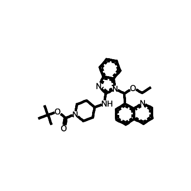 CCOC(c1cccc2cccnc12)n1c(NC2CCN(C(=O)OC(C)(C)C)CC2)nc2ccccc21